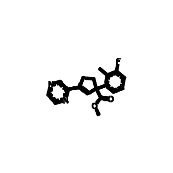 COC(=O)C1(c2cccc(F)c2C)C=C(c2cnccn2)CC1